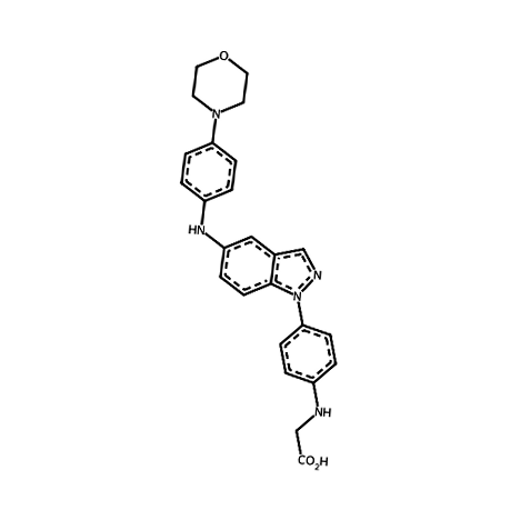 O=C(O)CNc1ccc(-n2ncc3cc(Nc4ccc(N5CCOCC5)cc4)ccc32)cc1